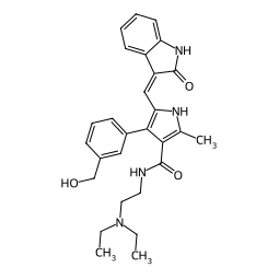 CCN(CC)CCNC(=O)c1c(C)[nH]c(C=C2C(=O)Nc3ccccc32)c1-c1cccc(CO)c1